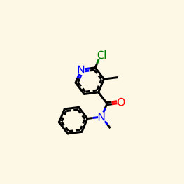 Cc1c(C(=O)N(C)c2ccccc2)ccnc1Cl